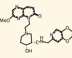 COc1cnc2ccc(=O)n(CCN3CC[C@@H](O)[C@@H](CNCc4cc5c(cn4)OCCO5)C3)c2n1